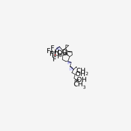 C=C/C(=C\C=C1/CCC[C@]2(C)C(C3(C/C=C\C(O)(C(F)(F)F)C(F)(F)F)CC3)=CCC12)CC(O)C[C@@H](C)O